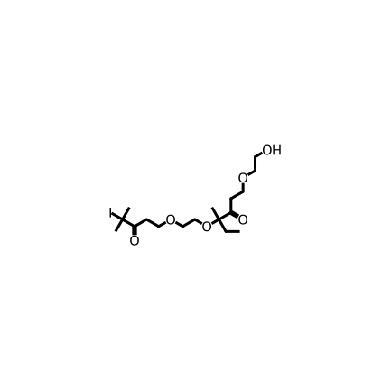 CCC(C)(OCCOCCC(=O)C(C)(C)I)C(=O)CCOCCO